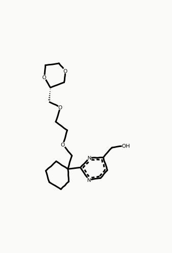 OCc1ccnc(C2(COCCOC[C@H]3COCCO3)CCCCC2)n1